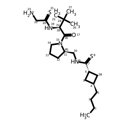 CCCC[C@H]1C[C@H](C(=S)NC[C@H]2CCCN2C(=O)[C@@H](NC(=S)CN)C(C)(C)C)C1